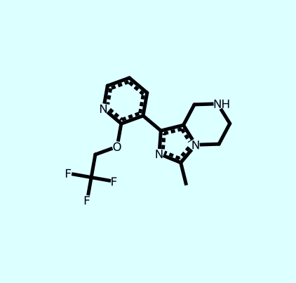 Cc1nc(-c2cccnc2OCC(F)(F)F)c2n1CCNC2